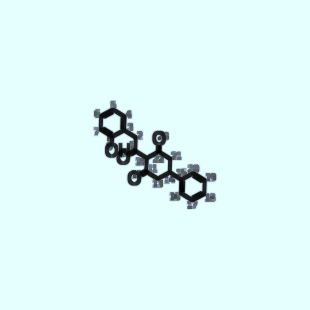 O=C(Cc1ccccc1O)C1C(=O)CC(c2ccccc2)CC1=O